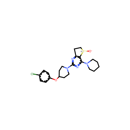 [O-][S@+]1CCc2nc(N3CCC(Oc4ccc(Cl)cc4)CC3)nc(N3CCCCC3)c21